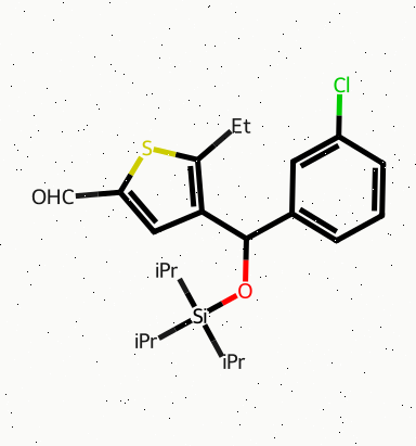 CCc1sc(C=O)cc1C(O[Si](C(C)C)(C(C)C)C(C)C)c1cccc(Cl)c1